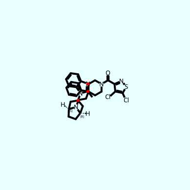 Cc1nc2ccccc2n1C1C[C@H]2CC[C@@H](C1)N2CCC1(c2ccccc2)CCN(C(=O)c2nsc(Cl)c2Cl)CC1